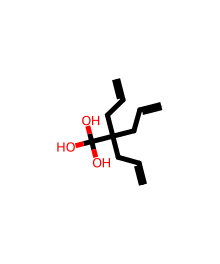 C=CCC(CC=C)(CC=C)C(O)(O)O